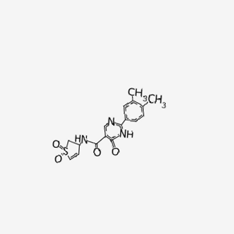 Cc1ccc(-c2ncc(C(=O)NC3C=CS(=O)(=O)C3)c(=O)[nH]2)cc1C